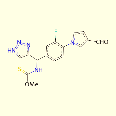 COC(=S)NC(c1ccc(-n2ccc(C=O)c2)c(F)c1)c1c[nH]nn1